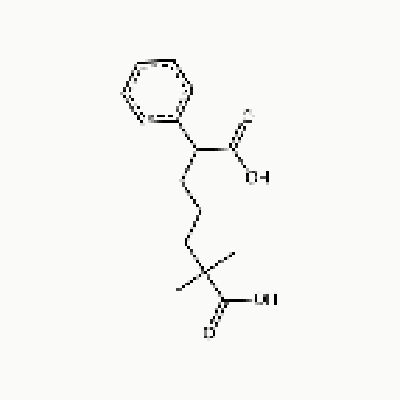 CC(C)(CCCC(C(=O)O)c1ccccc1)C(=O)O